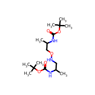 CC(CNOCC(C)NC(=O)OC(C)(C)C)NC(=O)OC(C)(C)C